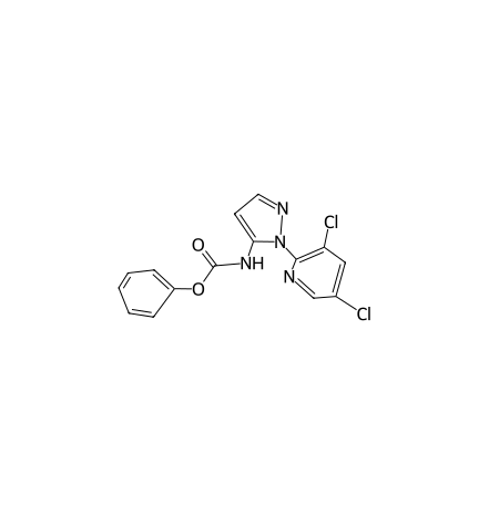 O=C(Nc1ccnn1-c1ncc(Cl)cc1Cl)Oc1ccccc1